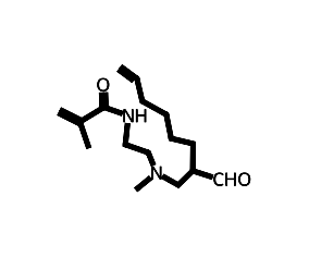 C=CCCCCC(C=O)CN(C)CCNC(=O)C(=C)C